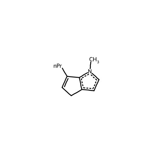 CCCC1=CCc2ccn(C)c21